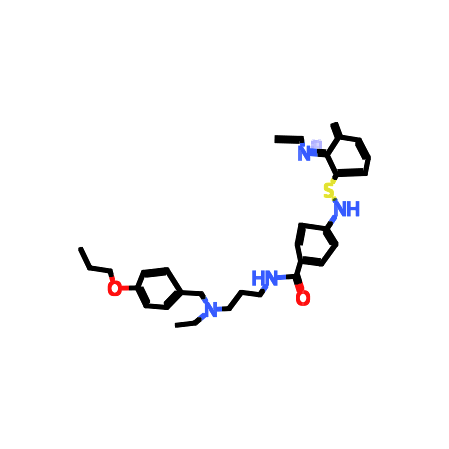 C=C/N=C1\C(=C)C=CC=C1SNc1ccc(C(=O)NCCCN(CC)Cc2ccc(OCCC)cc2)cc1